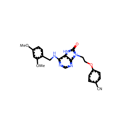 COc1ccc(CNc2ncnc3c2[nH]c(=O)n3CCOc2ccc(C#N)cc2)c(OC)c1